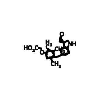 Cc1cc(OCC(=O)O)c(C)c(C)c1Cc1ccc2c(c1)C1(CN2)CC1=O